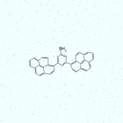 Bc1cc(-c2ccc3ccc4cccc5ccc2c3c45)cc(-c2ccc3ccc4cccc5ccc2c3c45)c1